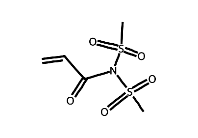 C=CC(=O)N(S(C)(=O)=O)S(C)(=O)=O